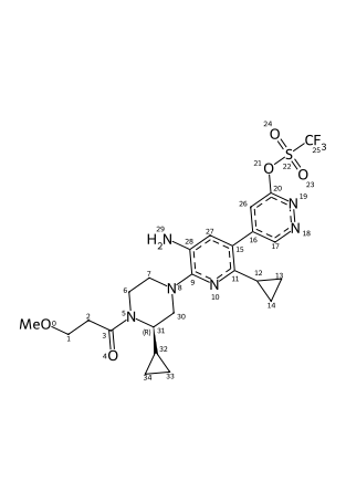 COCCC(=O)N1CCN(c2nc(C3CC3)c(-c3cnnc(OS(=O)(=O)C(F)(F)F)c3)cc2N)C[C@H]1C1CC1